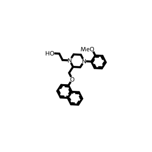 COc1ccccc1N1CCN(CCO)C(COc2cccc3ccccc23)C1